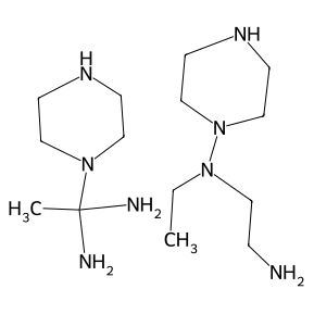 CC(N)(N)N1CCNCC1.CCN(CCN)N1CCNCC1